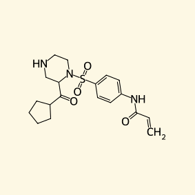 C=CC(=O)Nc1ccc(S(=O)(=O)N2CCNCC2C(=O)C2CCCC2)cc1